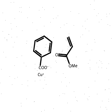 C=CC(=O)OC.O=C([O-])c1ccccc1.[Cu+]